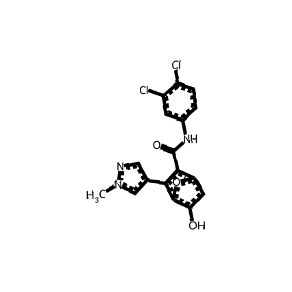 Cn1cc(-c2c(C(=O)Nc3ccc(Cl)c(Cl)c3)c3cc(O)c2o3)cn1